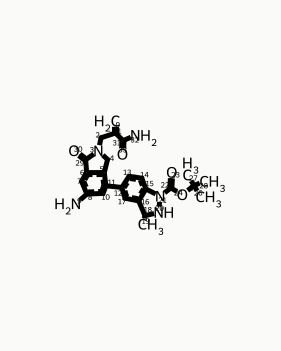 C=C(CN1Cc2c(cc(N)cc2-c2ccc3c(c2)C(C)NN3C(=O)OC(C)(C)C)C1=O)C(N)=O